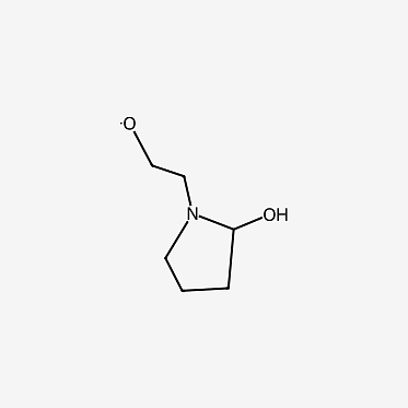 [O]CCN1CCCC1O